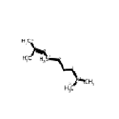 CC(C)=C[SiH2]CCCN(C)C